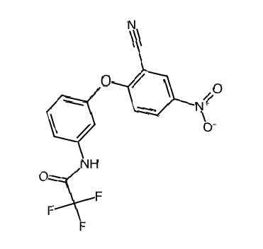 N#Cc1cc([N+](=O)[O-])ccc1Oc1cccc(NC(=O)C(F)(F)F)c1